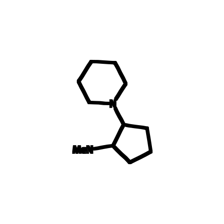 CNC1CCCC1N1CCCCC1